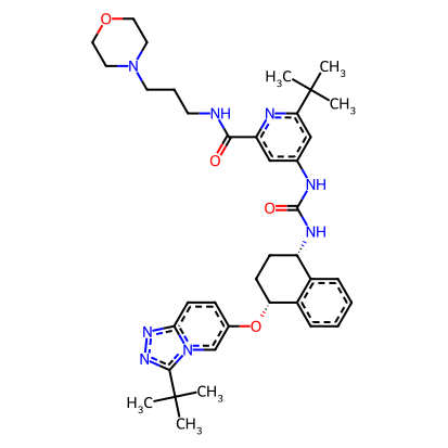 CC(C)(C)c1cc(NC(=O)N[C@H]2CC[C@@H](Oc3ccc4nnc(C(C)(C)C)n4c3)c3ccccc32)cc(C(=O)NCCCN2CCOCC2)n1